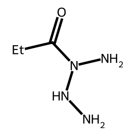 CCC(=O)N(N)NN